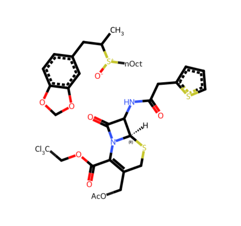 CC(=O)OCC1=C(C(=O)OCC(Cl)(Cl)Cl)N2C(=O)C(NC(=O)Cc3cccs3)[C@H]2SC1.CCCCCCCC[S+]([O-])C(C)Cc1ccc2c(c1)OCO2